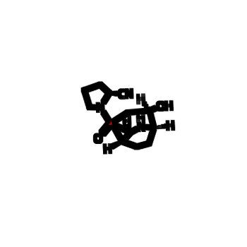 N#C[C@@H]1CCCN1C(=O)[C@H]1N[C@@H]2CC[C@@H]1CC[C@H]2O